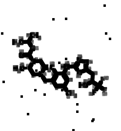 Cc1cc(CN2CCN(C(=O)OC(C)C)[C@@H](C)C2)c(C)c(Nc2nnc(CC(O)C(F)(F)F)o2)c1